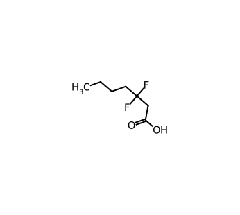 CCCCC(F)(F)CC(=O)O